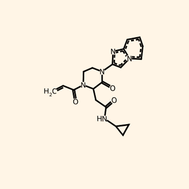 C=CC(=O)N1CCN(c2cn3ccccc3n2)C(=O)C1CC(=O)NC1CC1